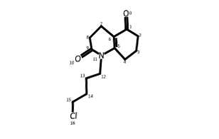 O=C1CCCC2=C1CCC(=O)N2CCCCCl